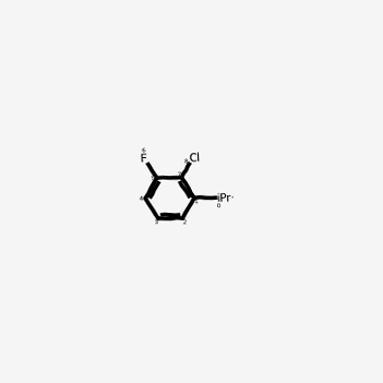 C[C](C)c1cccc(F)c1Cl